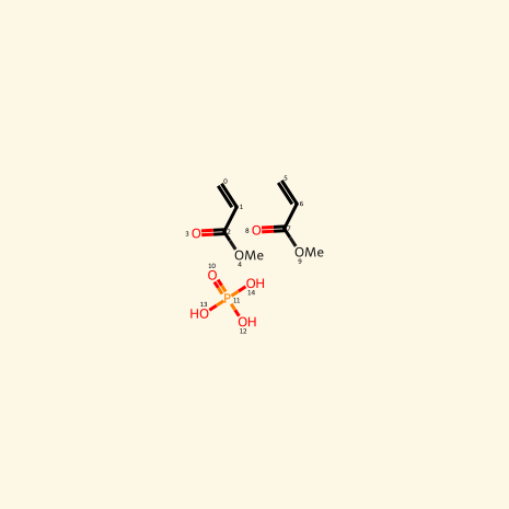 C=CC(=O)OC.C=CC(=O)OC.O=P(O)(O)O